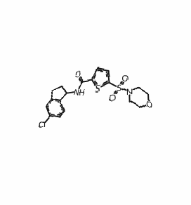 O=C(NC1CCc2cc(Cl)ccc21)c1ccc(S(=O)(=O)N2CCOCC2)s1